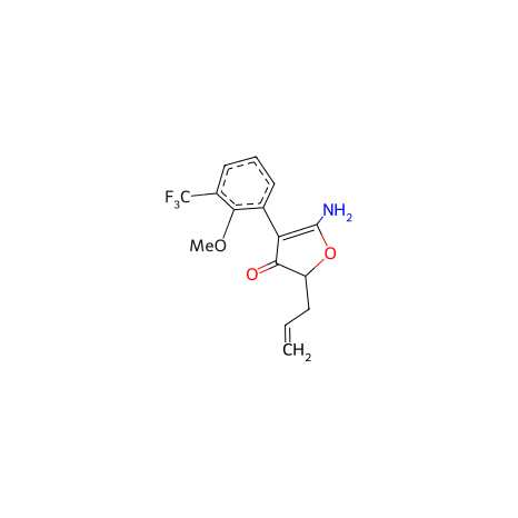 C=CCC1OC(N)=C(c2cccc(C(F)(F)F)c2OC)C1=O